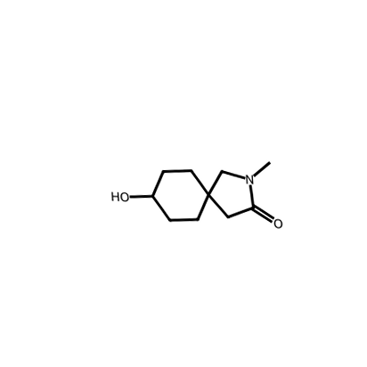 CN1CC2(CCC(O)CC2)CC1=O